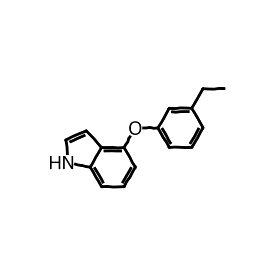 CCc1cccc(Oc2cccc3[nH]ccc23)c1